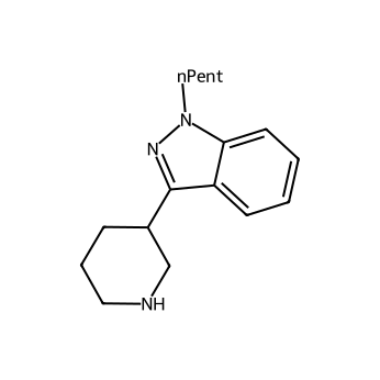 CCCCCn1nc(C2CCCNC2)c2ccccc21